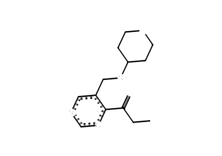 CCC(=O)c1ncncc1CNC1CCOCC1